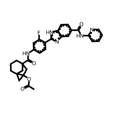 CC(=O)OC12CC3(C(=O)Nc4ccc(-c5nc6cc(C(=O)Nc7ccccn7)ccc6[nH]5)c(F)c4)CCCC1(C3)C2